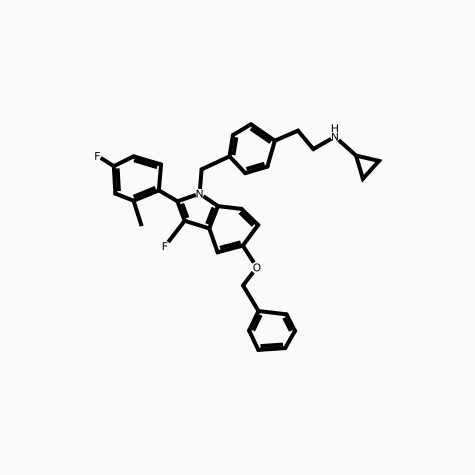 Cc1cc(F)ccc1-c1c(F)c2cc(OCc3ccccc3)ccc2n1Cc1ccc(CCNC2CC2)cc1